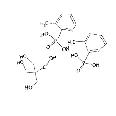 Cc1ccccc1P(=O)(O)O.Cc1ccccc1P(=O)(O)O.OCC(CO)(CO)CO